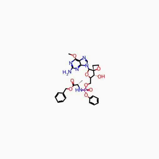 COc1nc(N)nc2c1ncn2C1OC(COP(=O)(N[C@@H](C)C(=O)OCc2ccccc2)Oc2ccccc2)[C@@H](O)[C@]12CCO2